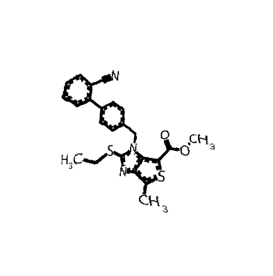 CCSc1nc2c(C)sc(C(=O)OC)c2n1Cc1ccc(-c2ccccc2C#N)cc1